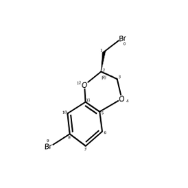 BrC[C@H]1COc2ccc(Br)cc2O1